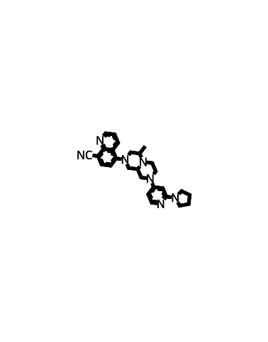 CC1CN(c2ccc(C#N)c3ncccc23)CC2CN(c3ccnc(N4CCCC4)c3)CCN12